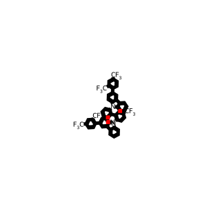 N#Cc1cccc(-n2c3ccccc3c3cc(-c4ccc(C(F)(F)F)cc4C(F)(F)F)ccc32)c1-c1cc(C(F)(F)F)ccc1-n1c2ccccc2c2cc(-c3ccc(C(F)(F)F)cc3C(F)(F)F)ccc21